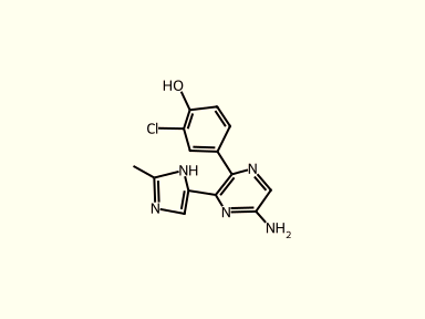 Cc1ncc(-c2nc(N)cnc2-c2ccc(O)c(Cl)c2)[nH]1